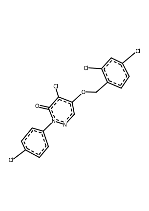 O=c1c(Cl)c(OCc2ccc(Cl)cc2Cl)cnn1-c1ccc(Cl)cc1